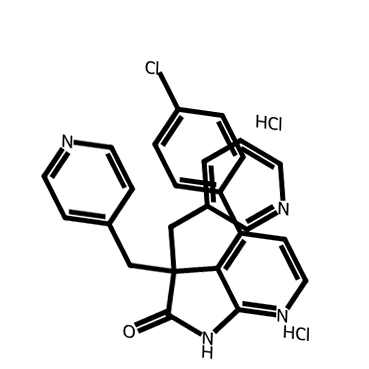 Cl.Cl.O=C1Nc2nccc(-c3ccc(Cl)cc3)c2C1(Cc1ccncc1)Cc1cccnc1